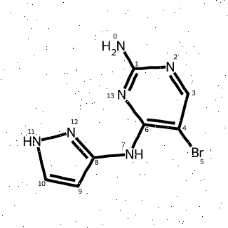 Nc1ncc(Br)c(Nc2cc[nH]n2)n1